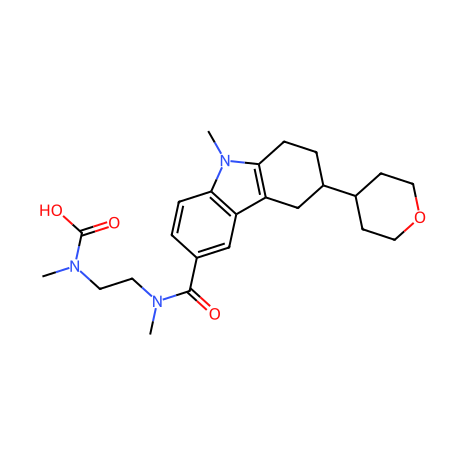 CN(CCN(C)C(=O)c1ccc2c(c1)c1c(n2C)CCC(C2CCOCC2)C1)C(=O)O